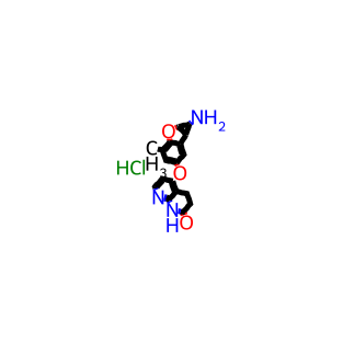 Cc1cc(Oc2ccnc3c2CCC(=O)N3)cc2c1OC1C(N)C21.Cl